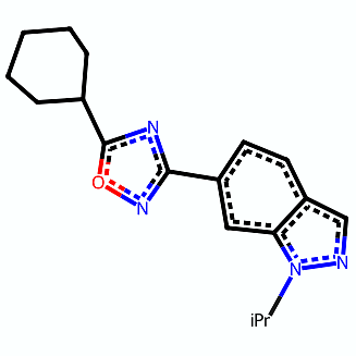 CC(C)n1ncc2ccc(-c3noc(C4CCCCC4)n3)cc21